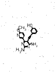 COc1ccc(-c2nc(N)nc(N)c2C#Cc2cccc(O)c2)cn1